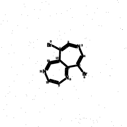 BrC1=C=NC=C(Br)C2=NC=CN=C=C12